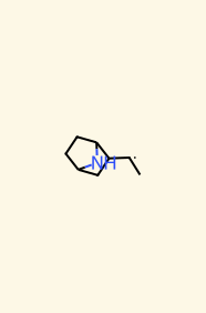 C[CH]C1CC2CCC1N2